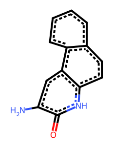 Nc1cc2c(ccc3ccccc32)[nH]c1=O